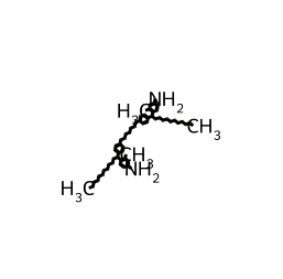 CCCCCCCCCCCC(c1ccc(CCCCCCCc2ccc(C(CCCCCCCCCCC)c3ccc(N)cc3C)cc2)cc1)c1ccc(N)cc1C